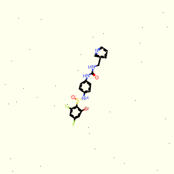 O=C(NCc1cccnc1)Nc1ccc(N[S+]([O-])c2c(F)cc(F)cc2Br)cc1